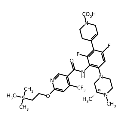 C[C@@H]1CN(c2cc(F)c(C3=CCN(C(=O)O)CC3)c(F)c2NC(=O)c2cnc(OCC[Si](C)(C)C)cc2C(F)(F)F)CCN1C